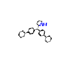 C1=C(C2CCCCC2)CCC([C@H](c2ccc(C3CCCCC3)cc2)C2CCCN2)=C1